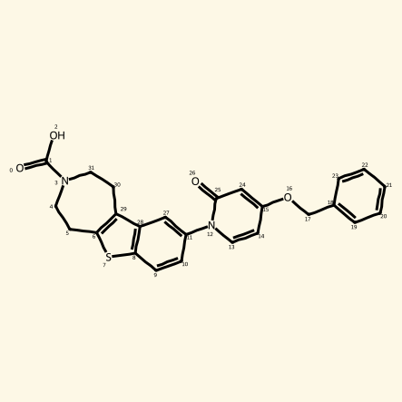 O=C(O)N1CCc2sc3ccc(-n4ccc(OCc5ccccc5)cc4=O)cc3c2CC1